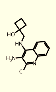 Nc1c(Cl)nc2ccccc2c1NCC1(O)CCC1